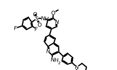 COc1ncc(-c2ccc3nc(N)c(-c4ccc(N5CCN(C)CC5)cc4)cc3c2)cc1NS(=O)(=O)c1ccc(F)cc1F